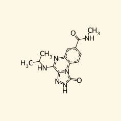 CNC(=O)c1ccc2c(c1)nc(NC(C)C)c1n[nH]c(=O)n12